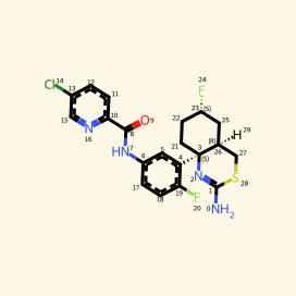 NC1=N[C@@]2(c3cc(NC(=O)c4ccc(Cl)cn4)ccc3F)CC[C@H](F)C[C@H]2CS1